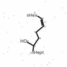 CCCCCC/C=C\CCC(O)CCCCCCC